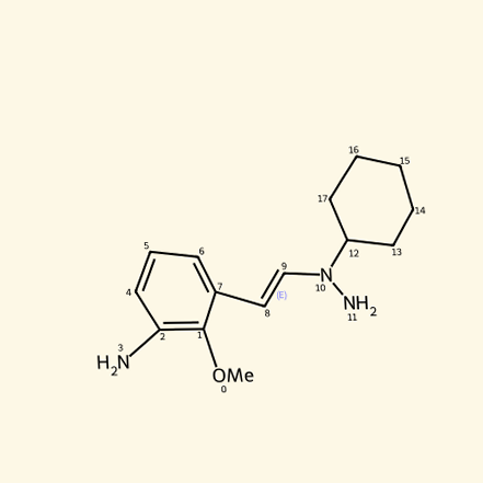 COc1c(N)cccc1/C=C/N(N)C1CCCCC1